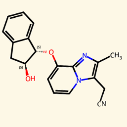 Cc1nc2c(O[C@H]3c4ccccc4C[C@@H]3O)cccn2c1CC#N